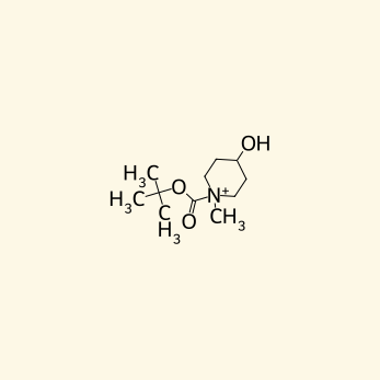 CC(C)(C)OC(=O)[N+]1(C)CCC(O)CC1